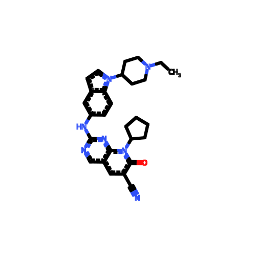 CCN1CCC(n2ccc3cc(Nc4ncc5cc(C#N)c(=O)n(C6CCCC6)c5n4)ccc32)CC1